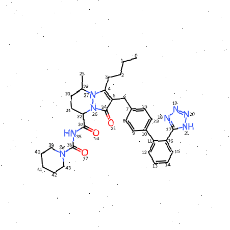 CCCCc1c(Cc2ccc(-c3ccccc3-c3nnn[nH]3)cc2)c(=O)n2n1C(C)CCC2C(=O)NC(=O)N1CCCCC1